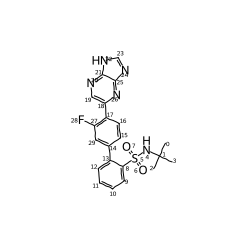 CC(C)(C)NS(=O)(=O)c1ccccc1-c1ccc(-c2cnc3[nH]cnc3n2)c(F)c1